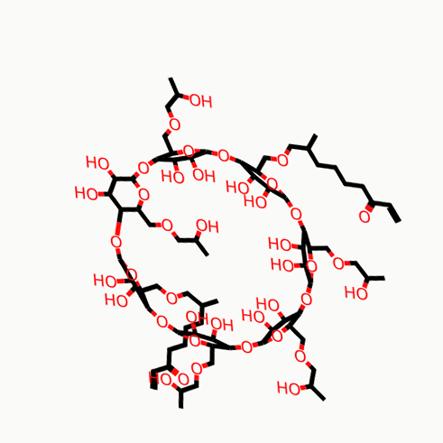 C=CC(=O)CCCCC(C)COCC1OC2OC3C(COCC(C)O)OC(OC4C(COCC(C)O)OC(OC5C(COCC(C)CCCCC(=O)C=C)OC(OC6C(COCC(C)O)OC(OC7C(COCC(C)O)OC(OC8C(COCC(C)O)OC(OC1C(O)C2O)C(O)C8O)C(O)C7O)C(O)C6O)C(O)C5O)C(O)C4O)C(O)C3O